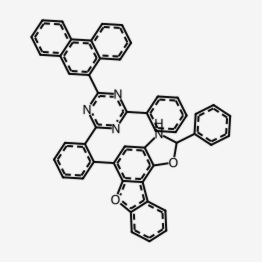 c1ccc(-c2nc(-c3ccccc3-c3cc4c(c5c3oc3ccccc35)OC(c3ccccc3)N4)nc(-c3cc4ccccc4c4ccccc34)n2)cc1